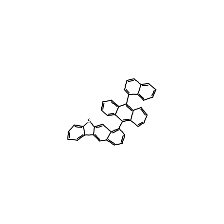 c1ccc2c(-c3c4ccccc4c(-c4cccc5cc6c(cc45)sc4ccccc46)c4ccccc34)cccc2c1